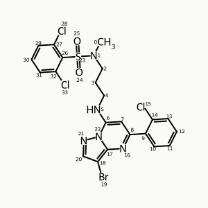 CN(CCCNc1cc(-c2ccccc2Cl)nc2c(Br)cnn12)S(=O)(=O)c1c(Cl)cccc1Cl